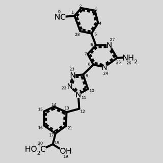 N#Cc1cccc(-c2cc(-c3cn(Cc4cccc(C(O)C(=O)O)c4)nn3)nc(N)n2)c1